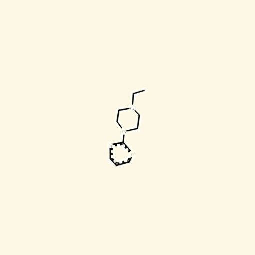 [CH2]CN1CCN(c2ncccn2)CC1